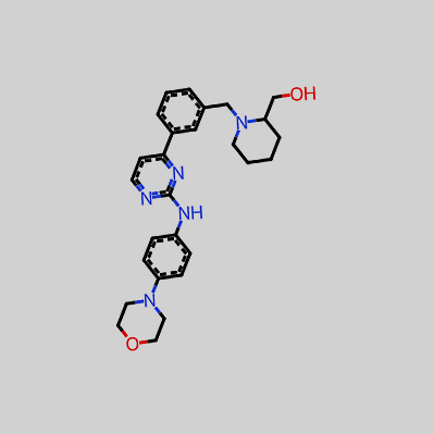 OCC1CCCCN1Cc1cccc(-c2ccnc(Nc3ccc(N4CCOCC4)cc3)n2)c1